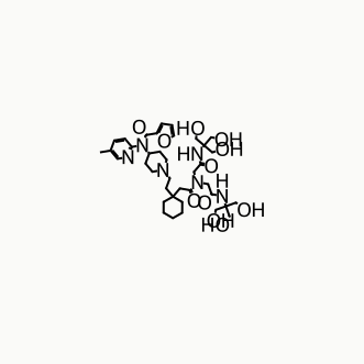 Cc1ccc(N(C(=O)c2ccco2)C2CCN(CCC3(CC(=O)N(CC(=O)NC(CO)(CO)CO)CC(=O)NC(CO)(CO)CO)CCCCC3)CC2)nc1